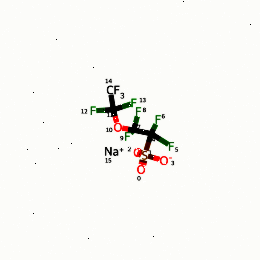 O=S(=O)([O-])C(F)(F)C(F)(F)OC(F)(F)C(F)(F)F.[Na+]